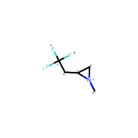 CN1CC1CC(F)(F)F